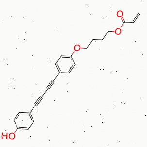 C=CC(=O)OCCCCOc1ccc(C#CC#Cc2ccc(O)cc2)cc1